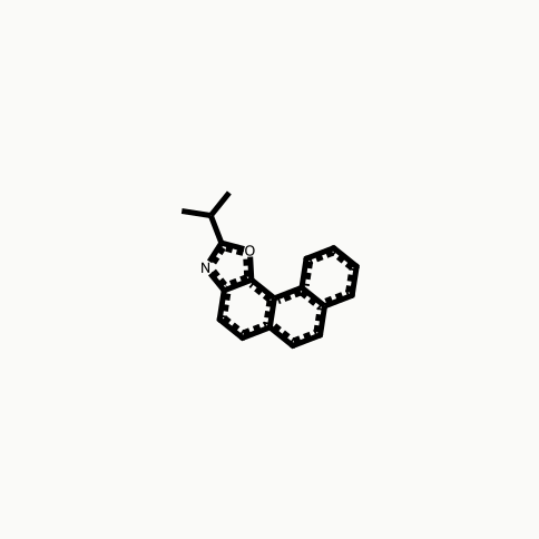 CC(C)c1nc2ccc3ccc4ccccc4c3c2o1